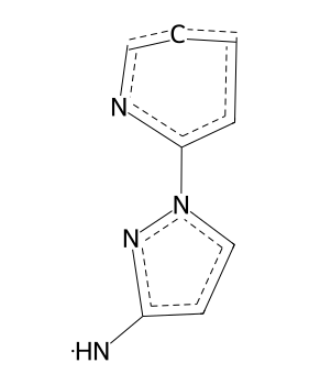 [NH]c1ccn(-c2ccccn2)n1